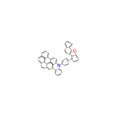 c1ccc(-c2ccc(N(c3ccc(-c4cccc5oc6c7ccccc7ccc6c45)cc3)c3ccccc3-c3ccc4c(ccc5ccccc54)c3)cc2)cc1